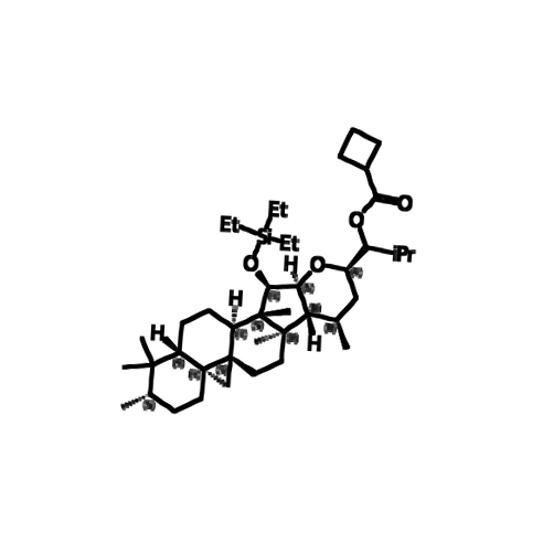 CC[Si](CC)(CC)O[C@H]1[C@H]2O[C@@H](C(OC(=O)C3CCC3)C(C)C)C[C@@H](C)[C@@H]2[C@@]2(C)CC[C@@]34C[C@@]35CC[C@H](C)C(C)(C)[C@@H]5CC[C@H]4[C@]12C